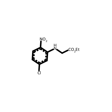 CCOC(=O)CNc1cc(Cl)ccc1[N+](=O)[O-]